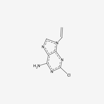 C=Cn1cnc2c(N)nc(Cl)nc21